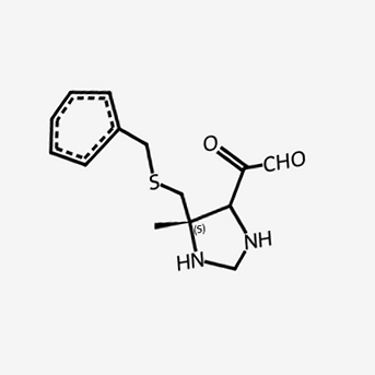 C[C@]1(CSCc2ccccc2)NCNC1C(=O)C=O